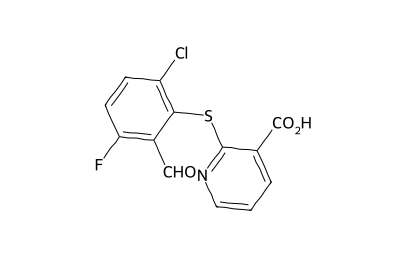 O=Cc1c(F)ccc(Cl)c1Sc1ncccc1C(=O)O